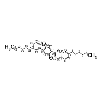 CCCCCCc1ccc2cc3oc4cc5c(cc4c3cc2c1)oc1ccc(CCCCCC)cc15